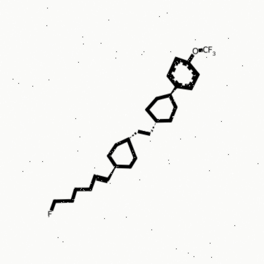 FCCCCC=C[C@H]1CC[C@H](CC[C@H]2CC[C@H](c3ccc(OC(F)(F)F)cc3)CC2)CC1